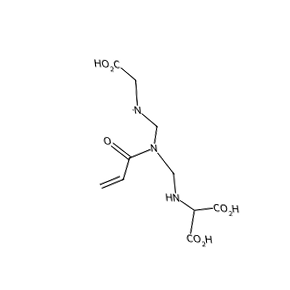 C=CC(=O)N(C[N]CC(=O)O)CNC(C(=O)O)C(=O)O